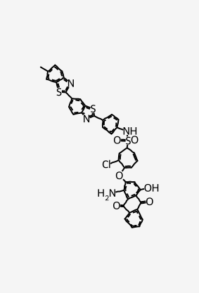 Cc1ccc2nc(-c3ccc4nc(-c5ccc(NS(=O)(=O)C6C=CC=C(Oc7cc(O)c8c(c7N)C(=O)c7ccccc7C8=O)C(Cl)=C6)cc5)sc4c3)sc2c1